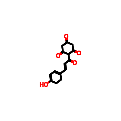 O=C1CC(=O)C(C(=O)/C=C/C2=CC=C(O)CC2)C(=O)C1